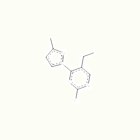 CCc1cnc(Cl)nc1-n1ccc(C)n1